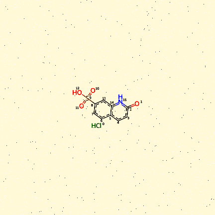 Cl.O=c1ccc2ccc(S(=O)(=O)O)cc2[nH]1